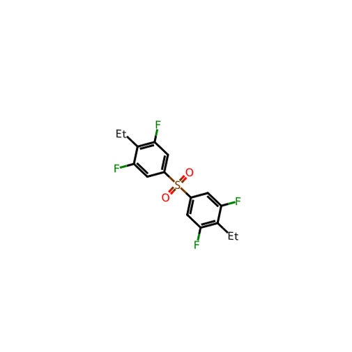 CCc1c(F)cc(S(=O)(=O)c2cc(F)c(CC)c(F)c2)cc1F